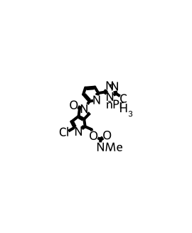 CCCn1c(C)nnc1-c1cccc(N2Cc3c(cc(Cl)nc3COC(=O)NC)C2=O)n1